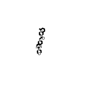 CC1CCCC2CN(C(=O)CN3CCc4nc(N5CCOCC5)ncc4C3)CCN12